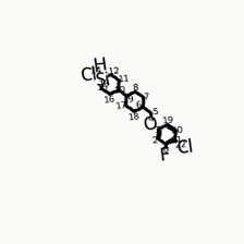 Fc1cc(OCC2CCC(C3CC[SiH](Cl)CC3)CC2)ccc1Cl